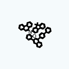 CC1(C)c2ccccc2-c2ccc(N(c3cc4ccccc4c4ccccc34)c3cccc4c3oc3c(-c5ccc(-c6ccccc6)cc5)c5ccccc5cc34)cc21